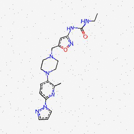 CCNC(=O)Nc1cc(CN2CCN(c3ccc(-n4cccn4)nc3C)CC2)on1